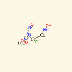 CS(=O)(=O)N1CCc2c(c(-c3ccc(Cl)c(C#Cc4cccc(CNCCO)c4)c3)nn2CCCN2CCOCC2)C1